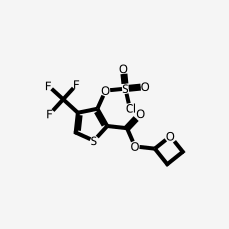 O=C(OC1CCO1)c1scc(C(F)(F)F)c1OS(=O)(=O)Cl